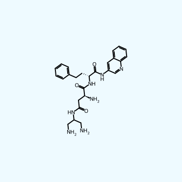 NCC(CN)NC(=O)C[C@H](N)C(=O)N[C@H](CCc1ccccc1)C(=O)Nc1cnc2ccccc2c1